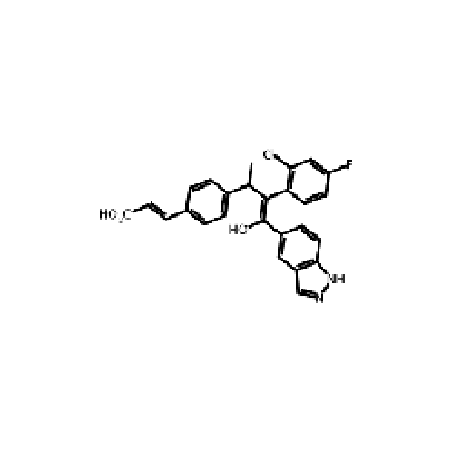 CC(/C(=C(\O)c1ccc2[nH]ncc2c1)c1ccc(F)cc1Cl)c1ccc(/C=C/C(=O)O)cc1